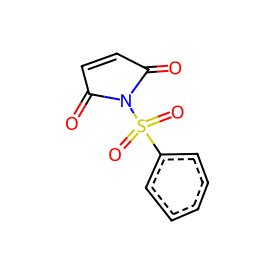 O=C1C=CC(=O)N1S(=O)(=O)c1ccccc1